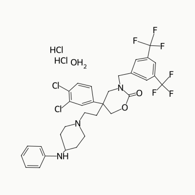 Cl.Cl.O.O=C1OCC(CCN2CCC(Nc3ccccc3)CC2)(c2ccc(Cl)c(Cl)c2)CN1Cc1cc(C(F)(F)F)cc(C(F)(F)F)c1